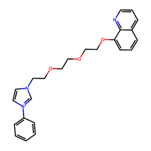 c1ccc(-[n+]2ccn(CCOCCOCCOc3cccc4cccnc34)c2)cc1